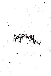 COC1CN(CC(=O)Nc2cc(Oc3ccc4c(c3)nc(Nc3cccc(C(F)(F)F)c3)n4C)ccn2)C1